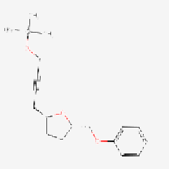 CC(C)(C)[Si](C)(C)OCC#CC[C@@H]1CC[C@@H](COc2ccc(F)cc2)O1